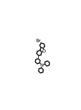 Brc1ccc2oc3cc(-c4cccc(N(c5ccccc5)c5ccccc5)c4)ccc3c2c1